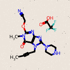 CC#CCn1c(N2CCNCC2)nc2nc(OCC#N)n(C)c(=O)c21.O=C(O)C(F)(F)F